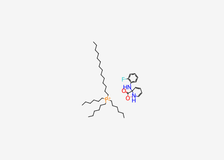 CCCCCCCCCCCCCC[P+](CCCCCC)(CCCCCC)CCCCCC.O=C([O-])C1(Nc2ccccc2F)C=CC=CN1